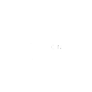 CC12CC[N+](C)(CC1)CC2